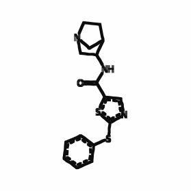 O=C(NC1CN2CCC1C2)c1cnc(Sc2ccccc2)s1